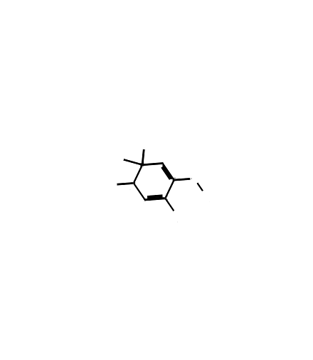 CC1(Cl)C=C(OC(F)(F)F)C(Cl)=CC1[C]=O